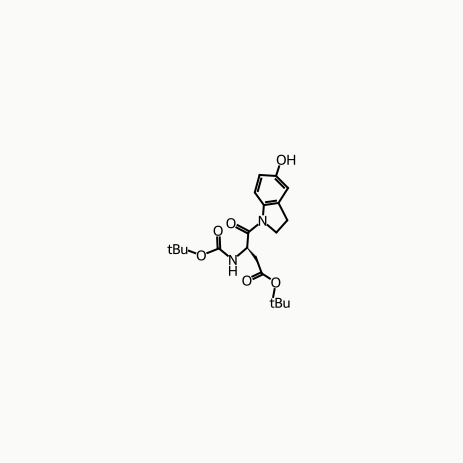 CC(C)(C)OC(=O)C[C@@H](NC(=O)OC(C)(C)C)C(=O)N1CCc2cc(O)ccc21